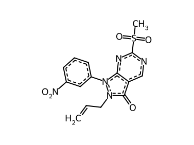 C=CCn1c(=O)c2cnc(S(C)(=O)=O)nc2n1-c1cccc([N+](=O)[O-])c1